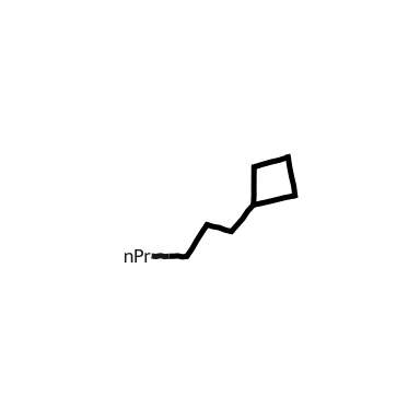 CCCCCCC1CCC1